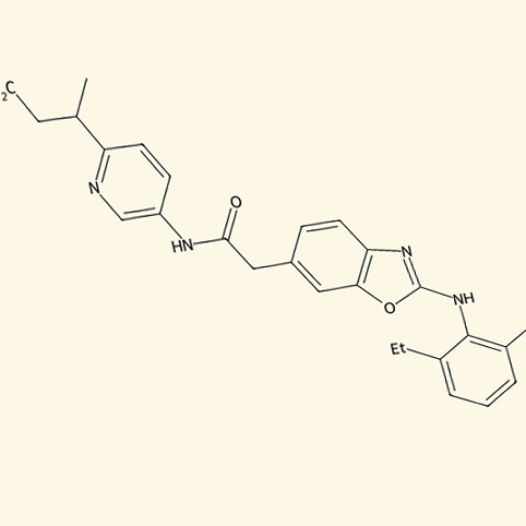 CCc1cccc(CC)c1Nc1nc2ccc(CC(=O)Nc3ccc(C(C)CC(=O)O)nc3)cc2o1